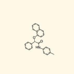 Cc1ccc(NC(=O)C(Oc2cccc3ccccc23)c2ccccc2)cc1